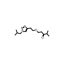 CC(C)Cn1cc(CCOCCC(=O)C(C)C)nn1